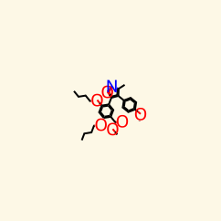 CCCCOc1cc(OCCCC)c(-c2onc(C)c2-c2ccc(OC)cc2)cc1C(=O)OC